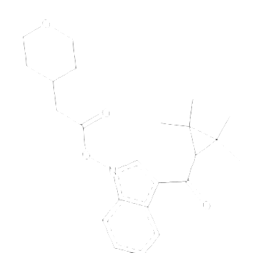 CC1(C)C(C(=O)c2cn(OC(=O)CC3CCOCC3)c3ccccc23)C1(C)C